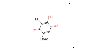 CCC1=C(O)C(=O)C=C(OC)C1=O